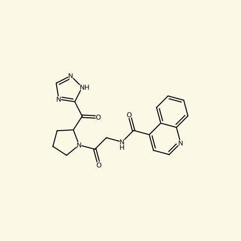 O=C(NCC(=O)N1CCCC1C(=O)c1ncn[nH]1)c1ccnc2ccccc12